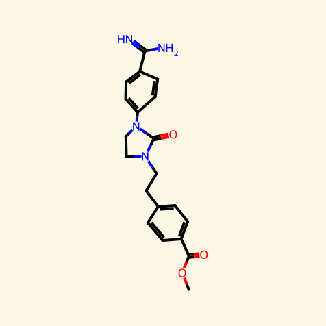 COC(=O)c1ccc(CCN2CCN(c3ccc(C(=N)N)cc3)C2=O)cc1